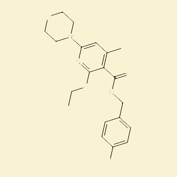 CCOc1nc(N2CCOCC2)cc(C)c1C(=O)NCc1ccc(Cl)cc1